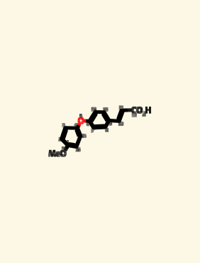 COc1ccc(Oc2ccc(/C=C/C(=O)O)cc2)cc1